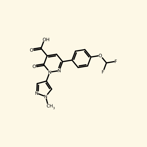 Cn1cc(-n2nc(-c3ccc(OC(F)F)cc3)cc(C(=O)O)c2=O)cn1